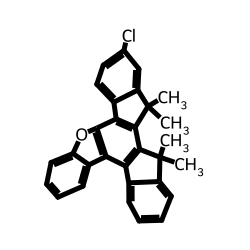 CC1(C)c2cc(Cl)ccc2-c2c1c1c(c3c2oc2ccccc23)-c2ccccc2C1(C)C